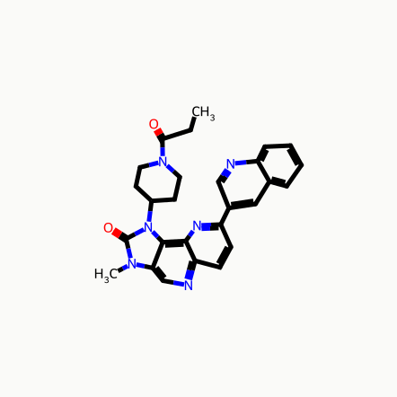 CCC(=O)N1CCC(n2c(=O)n(C)c3cnc4ccc(-c5cnc6ccccc6c5)nc4c32)CC1